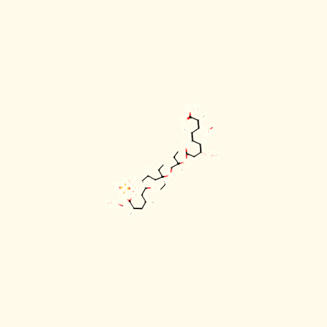 CC[C@@]1([C@@H]2O[C@@H]([C@H]3O[C@](CO)(OS(=O)(=O)O)[C@H](C)C[C@@H]3C)C[C@@H]2C)CC[C@H]([C@]2(C)CC[C@]3(C[C@H](O)[C@@H](C)[C@@H]([C@@H](C)[C@@H](OC)[C@H](C)C(=O)O)O3)O2)O1